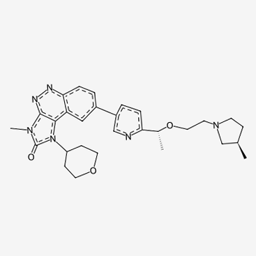 C[C@@H]1CCN(CCO[C@H](C)c2ccc(-c3ccc4nnc5c(c4c3)n(C3CCOCC3)c(=O)n5C)cn2)C1